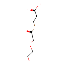 O=C(O)CCSC(=O)COCCO